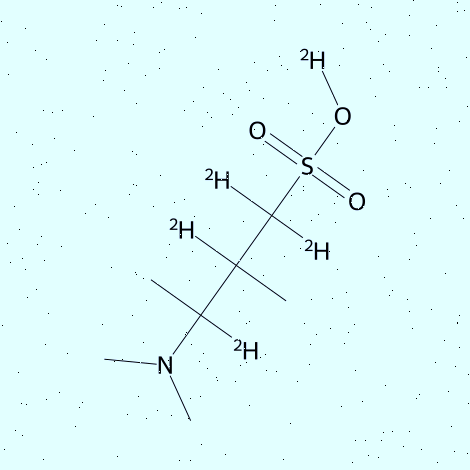 [2H]OS(=O)(=O)C([2H])([2H])C([2H])(C)C([2H])(C)N(C)C